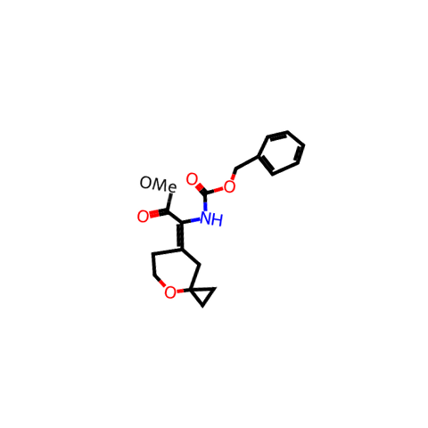 COC(=O)/C(NC(=O)OCc1ccccc1)=C1\CCOC2(CC2)C1